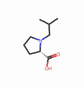 C[C](C)CN1CCC[C@H]1C(=O)O